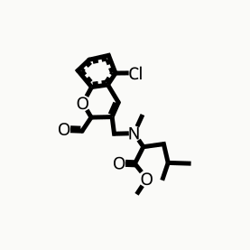 COC(=O)C(CC(C)C)N(C)CC1=Cc2c(Cl)cccc2OC1C=O